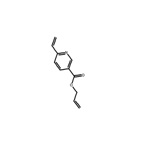 C=CCOC(=O)c1ccc(C=C)nc1